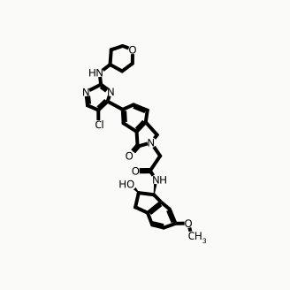 COc1ccc2c(c1)[C@H](NC(=O)CN1Cc3ccc(-c4nc(NC5CCOCC5)ncc4Cl)cc3C1=O)[C@H](O)C2